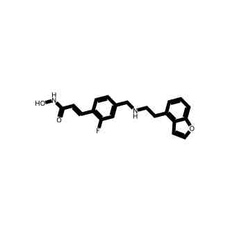 O=C(/C=C/c1ccc(CNCCc2cccc3occc23)cc1F)NO